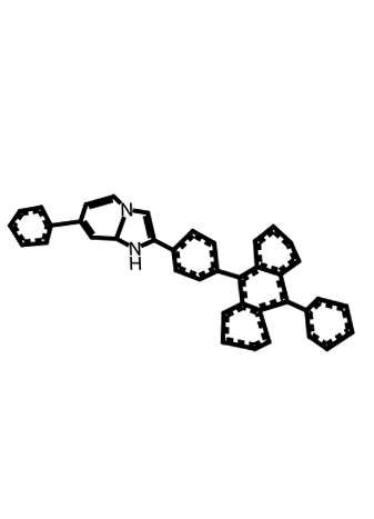 C1=CN2C=C(c3ccc(-c4c5ccccc5c(-c5ccccc5)c5ccccc45)cc3)NC2C=C1c1ccccc1